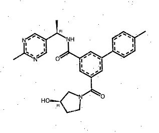 Cc1ccc(-c2cc(C(=O)N[C@H](C)c3cnc(C)nc3)cc(C(=O)N3CC[C@@H](O)C3)c2)cc1